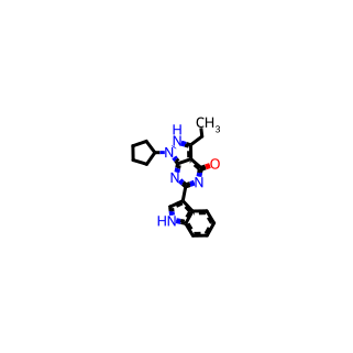 CCc1[nH]n(C2CCCC2)c2nc(-c3c[nH]c4ccccc34)nc(=O)c1-2